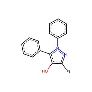 CCc1nn(-c2ccccc2)c(-c2ccccc2)c1O